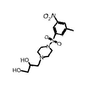 Cc1[c]c(S(=O)(=O)N2CCN(CC(O)CO)CC2)cc([N+](=O)[O-])c1